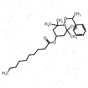 CCCCCCCCCC(=O)OC1CC(C)(C)N(OC(C)c2ccccc2)C(C)(C)C1